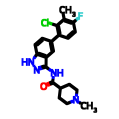 Cc1c(F)ccc(-c2ccc3[nH]nc(NC(=O)C4CCN(C)CC4)c3c2)c1Cl